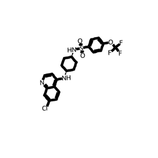 O=S(=O)(N[C@H]1CC[C@@H](Nc2ccnc3cc(Cl)ccc23)CC1)c1ccc(OC(F)(F)F)cc1